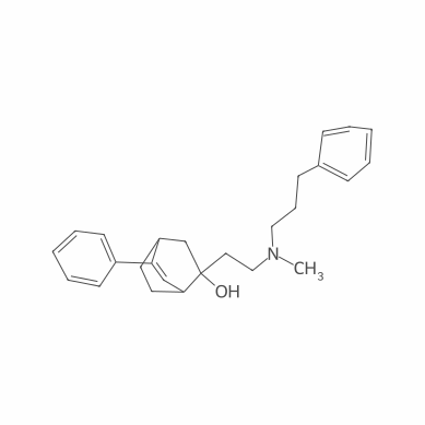 CN(CCCc1ccccc1)CCC1(O)CC2CCC1C=C2c1ccccc1